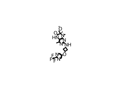 COC[C@@]1(C)C(=O)Nc2c(C)nc(N[C@H]3C[C@H](Oc4cnc(C(F)(F)F)nc4)C3)nc2N1C